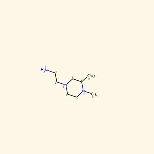 CN1CCN(CCN)CC1C=O